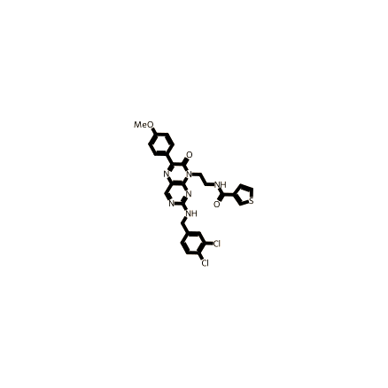 COc1ccc(-c2nc3cnc(NCc4ccc(Cl)c(Cl)c4)nc3n(CCNC(=O)c3ccsc3)c2=O)cc1